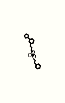 O=C(OCCCc1ccccc1)OCCCc1cccc(C2CCCC2)c1